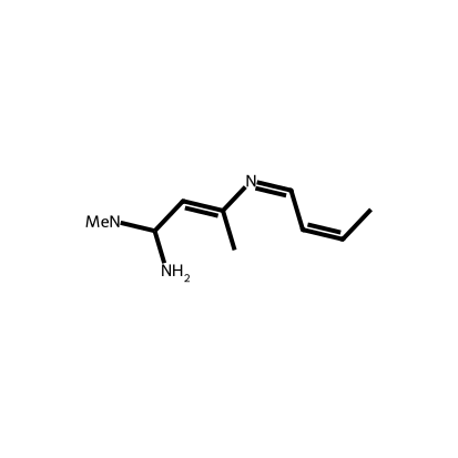 C\C=C/C=N\C(C)=C\C(N)NC